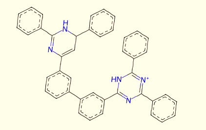 C1=C(c2cccc(-c3cccc(C4=NC(c5ccccc5)=[N+]=C(c5ccccc5)N4)c3)c2)N=C(c2ccccc2)NC1c1ccccc1